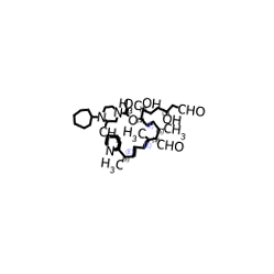 C/C(=C\C=C\[C@H](C)c1ccccn1)[C@@H](C=O)[C@@H](C)/C=C/[C@H](OC(=O)N1CCN(C2CCCCCC2)C(C)C1)[C@@](C)(O)CC[C@H](O)CC=O